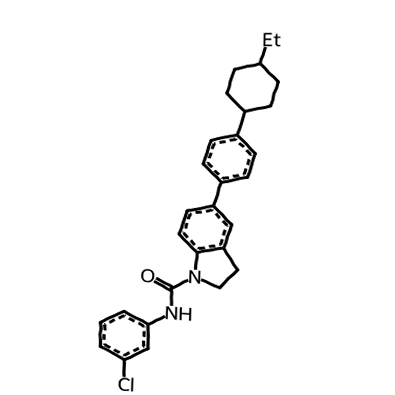 CCC1CCC(c2ccc(-c3ccc4c(c3)CCN4C(=O)Nc3cccc(Cl)c3)cc2)CC1